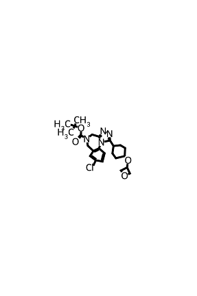 CC(C)(C)OC(=O)N1Cc2cc(Cl)ccc2-n2c(nnc2C2CCC(OC3COC3)CC2)C1